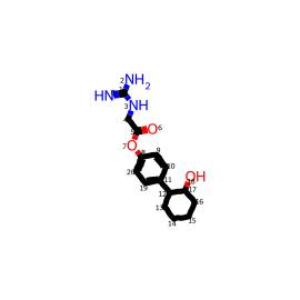 N=C(N)NCC(=O)Oc1ccc(C2CCCCC2O)cc1